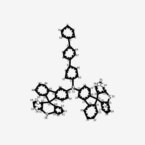 c1ccc(-c2ccc(-c3ccc(N(c4ccc5c(c4)-c4ccccc4C54c5ccccc5Sc5ccccc54)c4ccc5c(c4)-c4ccccc4C54c5ccccc5Sc5ccccc54)cc3)cc2)cc1